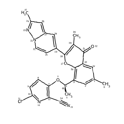 Cc1cc([C@@H](C)Oc2ccc(Cl)nc2C#N)c2oc(-c3ccn4nc(C)cc4c3)c(C)c(=O)c2c1